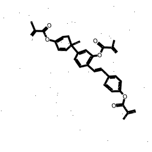 C=C(C)C(=O)OC1=CCC(C)(c2ccc(/C=C/c3ccc(OC(=O)C(=C)C)cc3)c(OC(=O)C(=C)C)c2)C=C1